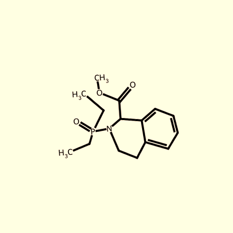 CCP(=O)(CC)N1CCc2ccccc2C1C(=O)OC